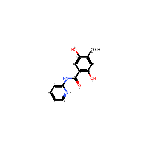 O=C(O)c1cc(O)c(C(=O)Nc2ccccn2)cc1O